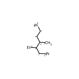 CCC(CC(C)C)[C](C)CCC(C)C